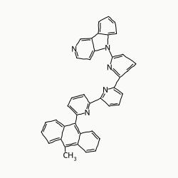 Cc1c2ccccc2c(-c2cccc(-c3cccc(-c4cccc(-n5c6ccccc6c6cnccc65)n4)n3)n2)c2ccccc12